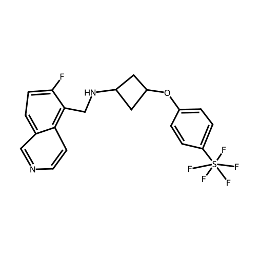 Fc1ccc2cnccc2c1CNC1CC(Oc2ccc(S(F)(F)(F)(F)F)cc2)C1